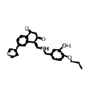 CCCOc1ccc(CN/C=C2\C(=O)CC(=O)c3ccc(-c4ccsc4)cc32)cc1O